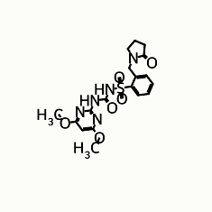 COc1cc(OC)nc(NC(=O)NS(=O)(=O)c2ccccc2CN2CCCC2=O)n1